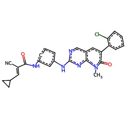 Cn1c(=O)c(-c2ccccc2Cl)cc2cnc(Nc3cccc(NC(=O)C(C#N)=CC4CC4)c3)nc21